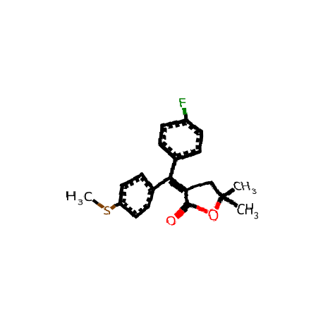 CSc1ccc(/C(=C2/CC(C)(C)OC2=O)c2ccc(F)cc2)cc1